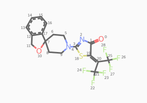 O=C1N=C(N2CCC3(CC2)OCc2ccccc23)SC1=C(C(F)(F)F)C(F)(F)F